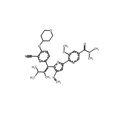 C=Nc1cc(-c2ncc(C(=O)N(C)C)cc2OC)oc1/C(=C(\C)C(C)C)c1ccc(OC2CCOCC2)c(C#N)n1